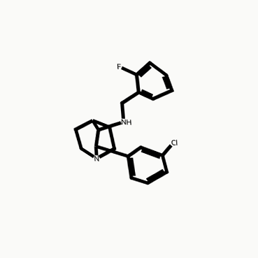 Fc1ccccc1CNC1C2CCN(CC2)C1c1cccc(Cl)c1